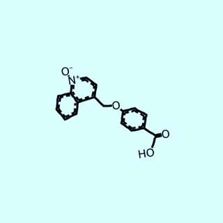 O=C(O)c1ccc(OCc2cc[n+]([O-])c3ccccc23)cc1